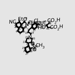 CCc1c(C#N)cc2ccccc2c1C(=O)N(C)C[C@@H](CCN1CCC(c2ccccc2S(C)(=O)=O)CC1)c1ccc(Cl)c(Cl)c1.O=C(O)CC(O)(CC(=O)O)C(=O)O